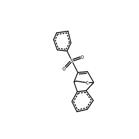 O=S(=O)(C1=CC2CCC1c1ccccc12)c1ccccc1